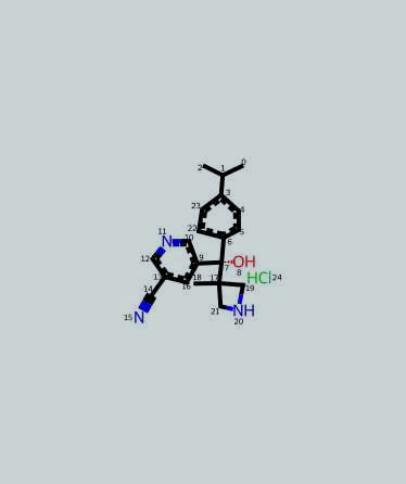 CC(C)c1ccc([C@](O)(c2cncc(C#N)c2)C2(C)CNC2)cc1.Cl